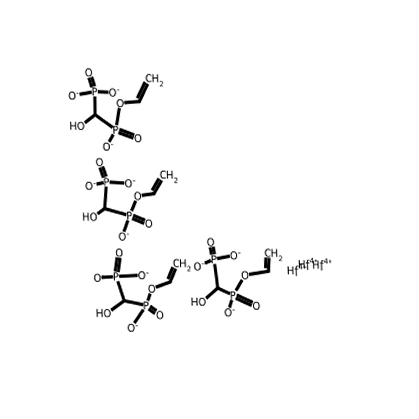 C=COP(=O)([O-])C(O)P(=O)([O-])[O-].C=COP(=O)([O-])C(O)P(=O)([O-])[O-].C=COP(=O)([O-])C(O)P(=O)([O-])[O-].C=COP(=O)([O-])C(O)P(=O)([O-])[O-].[Hf+4].[Hf+4].[Hf+4]